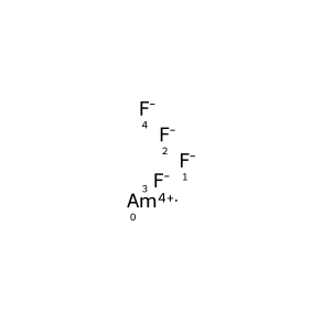 [Am+4].[F-].[F-].[F-].[F-]